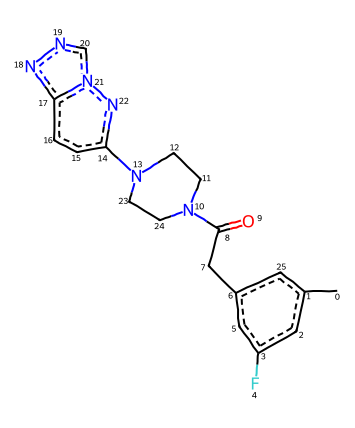 Cc1cc(F)cc(CC(=O)N2CCN(c3ccc4nncn4n3)CC2)c1